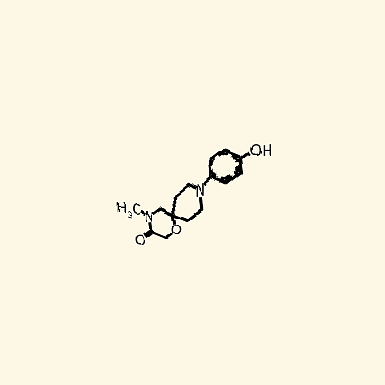 CN1CC2(CCN(c3ccc(O)cc3)CC2)OCC1=O